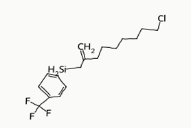 C=C(CCCCCCCCl)C[SiH2]c1ccc(C(F)(F)F)cc1